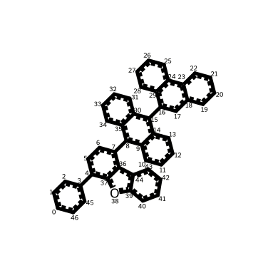 c1ccc(-c2ccc(-c3c4ccccc4c(-c4cc5ccccc5c5ccccc45)c4ccccc34)c3c2oc2ccccc23)cc1